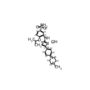 CC(C)Oc1ccc(S(N)(=O)=O)cc1Nc1nc(-c2ccc(N3CCN(C)CC3)cc2)cs1.Cl